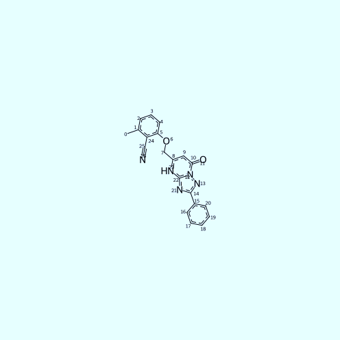 Cc1cccc(OCc2cc(=O)n3nc(-c4ccccc4)nc3[nH]2)c1C#N